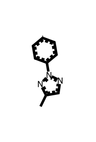 Cc1cnn(-c2cc[c]cc2)n1